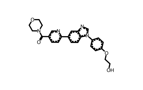 O=C(c1ccc(-c2ccc3c(c2)ncn3-c2ccc(OCCO)cc2)nc1)N1CCOCC1